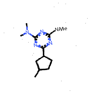 CNc1nc(C2CCC(C)C2)nc(N(C)C)n1